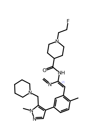 C=N/C(=C\c1cc(-c2cnn(C)c2CN2CCCCC2)ccc1C)NC(=O)C1CCN(CCF)CC1